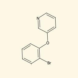 Brc1[c]cccc1Oc1cccnc1